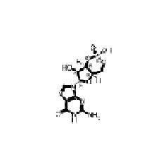 Nc1nc2c(ncn2[C@H]2O[C@@H]3CO[P@@](=O)(O)O[C@@H]3[C@@H]2O)c(=O)[nH]1